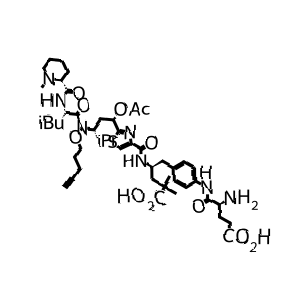 C#CCCCON(C(=O)[C@@H](NC(=O)[C@H]1CCCCN1C)[C@@H](C)CC)[C@H](C[C@@H](OC(C)=O)c1nc(C(=O)N[C@@H](Cc2ccc(NC(=O)[C@@H](N)CCC(=O)O)cc2)CC(C)(C)C(=O)O)cs1)C(C)C